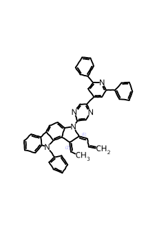 C=C/C=c1\c(=C/C)c2c(ccc3c4ccccc4n(-c4ccccc4)c32)n1-c1cnc(-c2cc(-c3ccccc3)nc(-c3ccccc3)c2)cn1